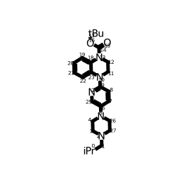 CC(C)CN1CCN(c2ccc(N3CCN(C(=O)OC(C)(C)C)c4ccccc43)nc2)CC1